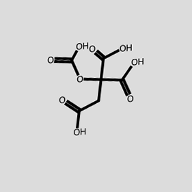 O=C(O)CC(OC(=O)O)(C(=O)O)C(=O)O